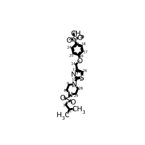 CC(C)CS(=O)(=O)N1CCN(c2nc(COc3ccc(S(C)(=O)=O)cc3)cs2)CC1